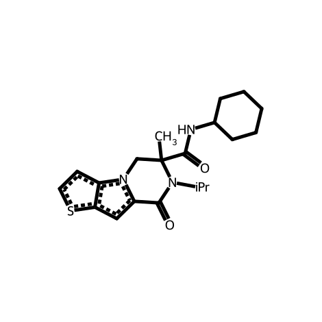 CC(C)N1C(=O)c2cc3sccc3n2CC1(C)C(=O)NC1CCCCC1